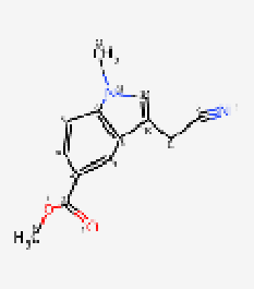 COC(=O)c1ccc2c(c1)c(CC#N)cn2C